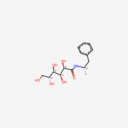 C[C@@H](Cc1ccccc1)NC(=O)[C@H](O)[C@@H](O)[C@H](O)[C@H](O)CO